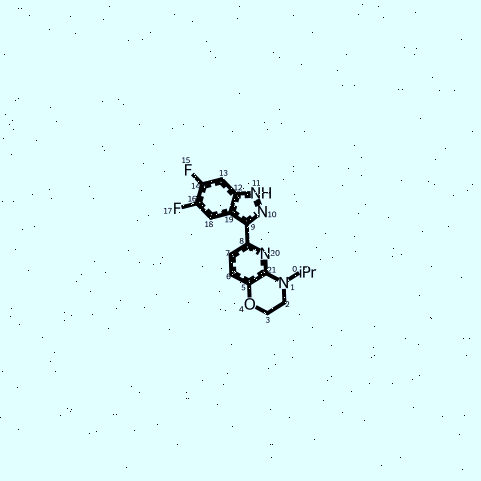 CC(C)N1CCOc2ccc(-c3n[nH]c4cc(F)c(F)cc34)nc21